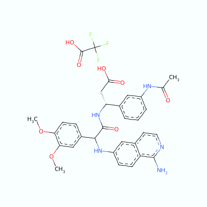 COc1ccc(C(Nc2ccc3c(N)nccc3c2)C(=O)N[C@H](CC(=O)O)c2cccc(NC(C)=O)c2)cc1OC.O=C(O)C(F)(F)F